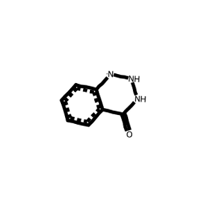 O=C1NN[N]c2ccccc21